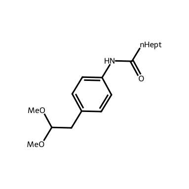 CCCCCCCC(=O)Nc1ccc(CC(OC)OC)cc1